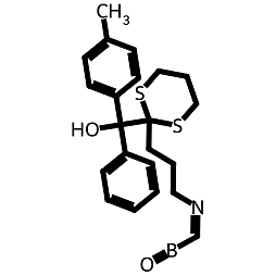 Cc1ccc(C(O)(c2ccccc2)C2(CCC/N=C\B=O)SCCCS2)cc1